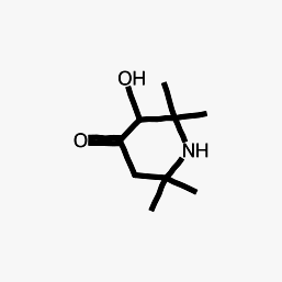 CC1(C)CC(=O)C(O)C(C)(C)N1